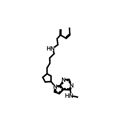 C=C(/C=C\C)CCNCCCCC1CCC(n2ccc3c(NC)ncnc32)C1